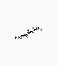 C=CC(=O)OCCNC(=O)OCCOS